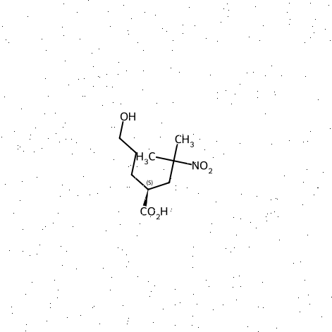 CC(C)(C[C@H](CCCO)C(=O)O)[N+](=O)[O-]